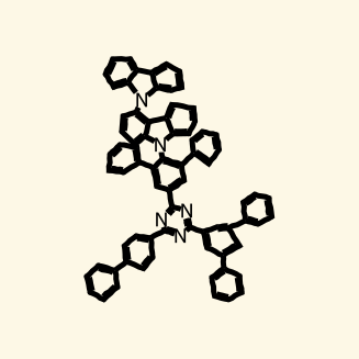 c1ccc(-c2ccc(-c3nc(-c4cc(-c5ccccc5)cc(-c5ccccc5)c4)nc(-c4cc(-c5ccccc5)c(-n5c6ccccc6c6c(-n7c8ccccc8c8ccccc87)cccc65)c(-c5ccccc5)c4)n3)cc2)cc1